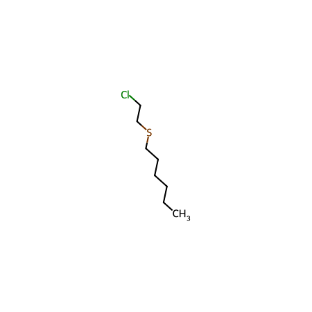 CCCCCCSCCCl